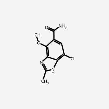 COc1c(C(N)=O)cc(Cl)c2[nH]c(C)nc12